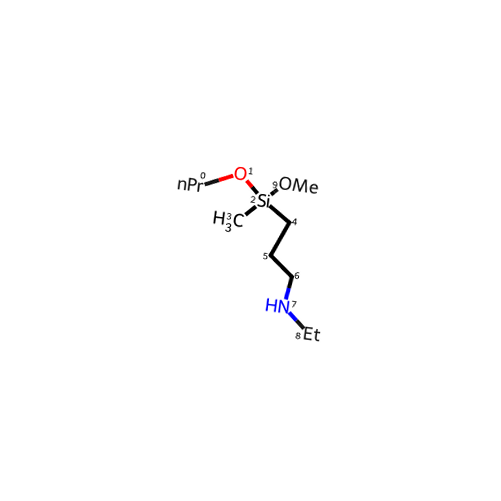 CCCO[Si](C)(CCCNCC)OC